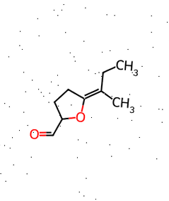 CCC(C)=C1CCC(C=O)O1